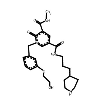 CNC(=O)c1cc(C(=O)NCCCC2CCNCC2)cn(Cc2cccc(OCCO)c2)c1=O